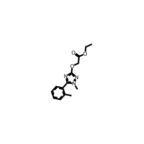 CCOC(=O)COc1nc(-c2ccccc2C)n(C)n1